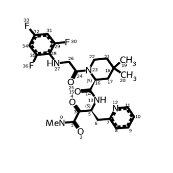 CNC(=O)C(=O)[C@H](Cc1ccccn1)NC(=O)[C@@H]1CC(C)(C)CCN1C(=O)CNc1c(F)cc(F)cc1F